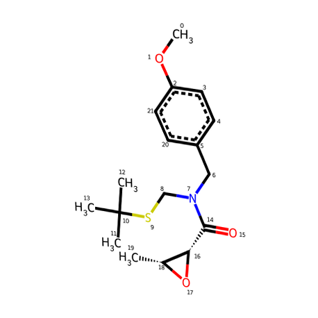 COc1ccc(CN(CSC(C)(C)C)C(=O)[C@@H]2O[C@@H]2C)cc1